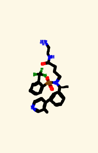 Cc1cnccc1-c1cccc([C@H](C)N(CCCC(=O)NCCN)S(=O)(=O)c2ccccc2C(F)(F)F)c1